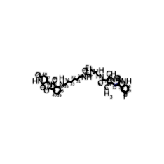 CCN(CCNC(=O)c1c(C)[nH]c(/C=C2\C(=O)Nc3ccc(F)cc32)c1C)CC(=O)NCCCCCCNc1cccc2c1C(=O)N(C1CCC(=O)NC1=O)C2=O